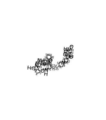 Nc1nnc(-c2ccccc2O)cc1N1CCC(C(=O)NCC(CCCC2CCN(c3ccc4c(c3)C(=O)N(C3CCC(=O)NC3=O)C4=O)CC2)CCNC=O)(C2=CCCC=C2)CC1